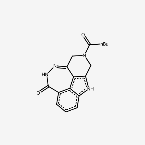 CCCCC(=O)N1CC2=NNC(=O)c3cccc4[nH]c(c2c34)C1